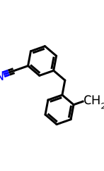 [CH2]c1ccccc1Cc1cccc(C#N)c1